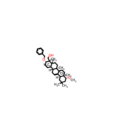 CO[C@@H]1CC(C)(C)C[C@H]2C3=CC[C@@H]4[C@@]5(C)CC[C@H](OCc6ccccc6)[C@](C)(CO)[C@@H]5CC[C@@]4(C)[C@]3(C)CC[C@@]12C